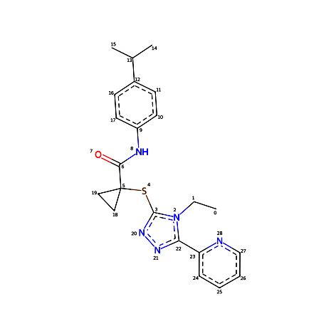 CCn1c(SC2(C(=O)Nc3ccc(C(C)C)cc3)CC2)nnc1-c1ccccn1